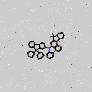 CC1(C)c2cc(N(c3ccc4c(c3)C(c3ccccc3)(c3ccccc3)c3ccccc3-4)c3ccccc3-c3ccccc3)ccc2C2C=CC=CC21